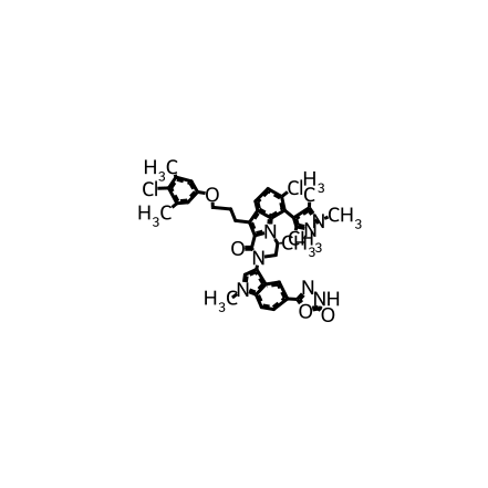 Cc1cc(OCCCc2c3n(c4c(-c5c(C)nn(C)c5C)c(Cl)ccc24)[C@H](C)CN(c2cn(C)c4ccc(-c5n[nH]c(=O)o5)cc24)C3=O)cc(C)c1Cl